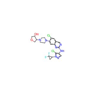 OC1COCC1N1CCN(c2cc3nc(Nc4cnn(C5CC5(F)F)c4Cl)ncc3cc2Cl)CC1